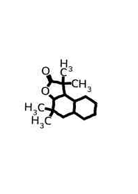 CC1(C)CC2CCCCC2C2C1OC(=O)C2(C)C